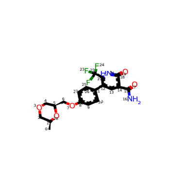 C[C@H]1COC[C@@H](COc2ccc(-c3cc(C(N)=O)c(=O)[nH]c3C(F)(F)F)cc2)O1